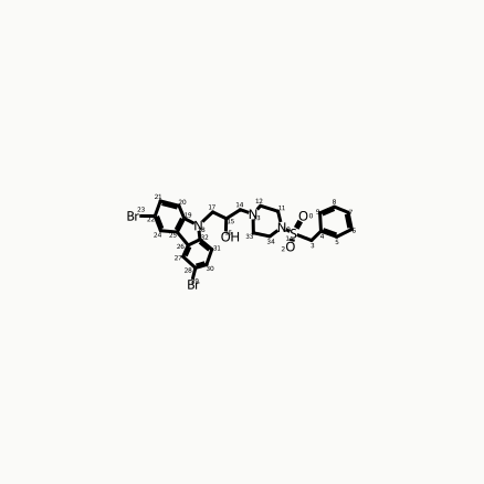 O=S(=O)(Cc1ccccc1)N1CCN(CC(O)Cn2c3ccc(Br)cc3c3cc(Br)ccc32)CC1